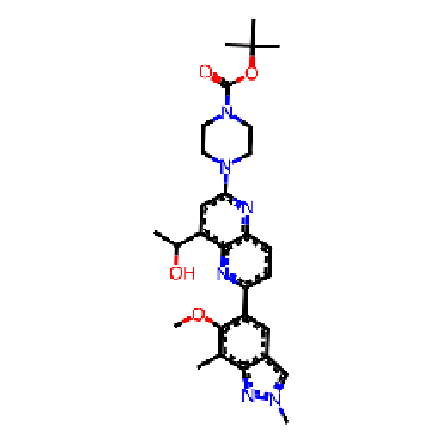 COc1c(-c2ccc3nc(N4CCN(C(=O)OC(C)(C)C)CC4)cc(C(C)O)c3n2)cc2cn(C)nc2c1C